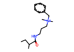 CCC(C)C(=O)NCCC[N+](C)(C)Cc1ccccc1